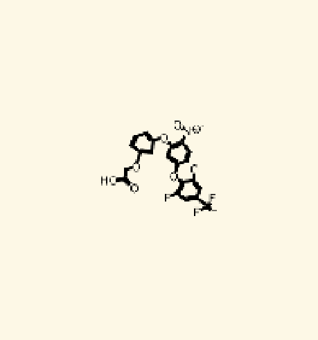 O=C(O)COc1cccc(Oc2cc(Oc3c(F)cc(C(F)(F)F)cc3Cl)ccc2[N+](=O)[O-])c1